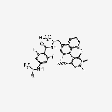 CCC(Nc1cc(F)c(C(=O)NC(Cc2cc(F)c(-c3c(OC)cc(C)n(C)c3=O)c3ncccc23)C(=O)O)c(F)c1)C(F)(F)F